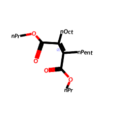 CCCCCCCC/C(C(=O)OCCC)=C(\CCCCC)C(=O)OCCC